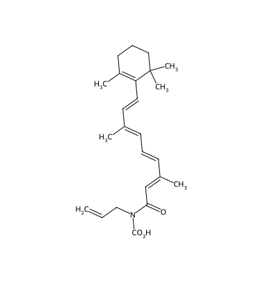 C=CCN(C(=O)O)C(=O)C=C(C)C=CC=C(C)C=CC1=C(C)CCCC1(C)C